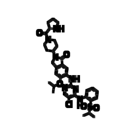 CC(C)Oc1cc2c(cc1Nc1ncc(Cl)c(Nc3ccccc3S(=O)(=O)C(C)C)n1)C(=O)N(C1CCN(C(=O)C3CCCN3)CC1)C2